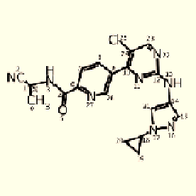 C[C@@H](C#N)NC(=O)c1ccc(-c2nc(Nc3cnn(C4CC4)c3)ncc2Cl)cn1